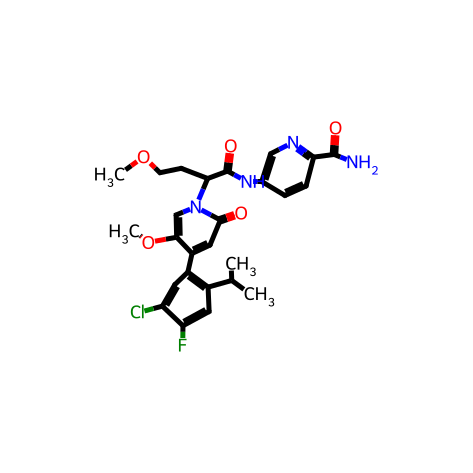 COCCC(C(=O)Nc1ccc(C(N)=O)nc1)n1cc(OC)c(-c2cc(Cl)c(F)cc2C(C)C)cc1=O